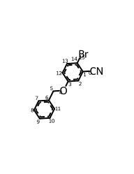 N#Cc1cc(OCc2ccccc2)ccc1Br